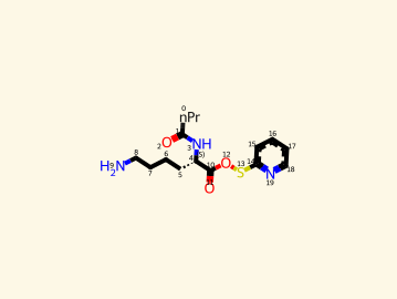 CCCC(=O)N[C@@H](CCCCN)C(=O)OSc1ccccn1